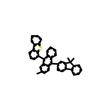 Cc1ccc2c(-c3ccc4c(c3)C(C)(C)c3ccccc3-4)c3ccccc3c(-c3cccc4c3sc3ccccc34)c2c1